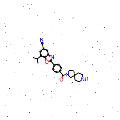 CC(C)c1cc(C#N)cc2nc(-c3ccc(C(=O)N4CCC5(CCNCC5)C4)cc3)oc12